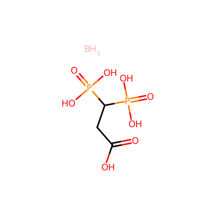 B.O=C(O)CC(P(=O)(O)O)P(=O)(O)O